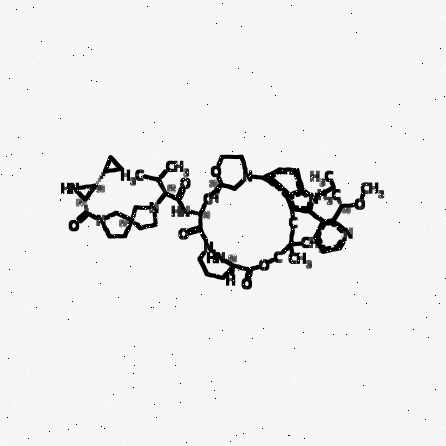 CCn1c(-c2cccnc2[C@H](C)OC)c2c3cc(ccc31)N1CCO[C@@H](C[C@H](NC(=O)[C@H](C(C)C)N3CC[C@]4(CCN(C(=O)[C@@H]5N[C@@H]5C5CC5)C4)C3)C(=O)N3CCC[C@H](N3)C(=O)OCC(C)(C)C2)C1